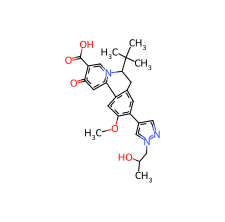 COc1cc2c(cc1-c1cnn(CC(C)O)c1)CC(C(C)(C)C)n1cc(C(=O)O)c(=O)cc1-2